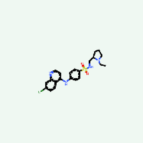 CCN1CCCC1CNS(=O)(=O)c1ccc(Nc2ccnc3cc(Cl)ccc23)cc1